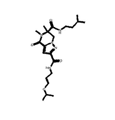 CC(C)CCNC(=O)C1(C)Cn2nc(C(=O)NCCCOC(C)C)cc2C(=O)N1C